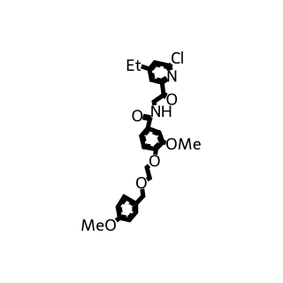 CCc1cc(Cl)nc(C(=O)CNC(=O)c2ccc(OCCOCc3ccc(OC)cc3)c(OC)c2)c1